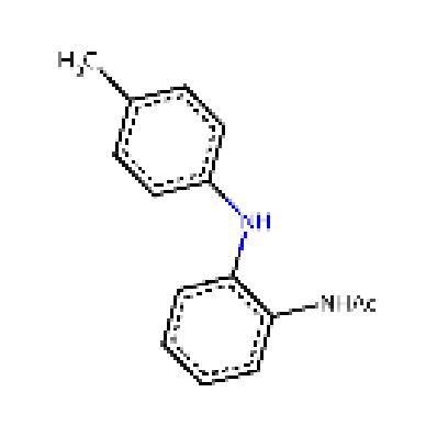 CC(=O)Nc1ccccc1Nc1ccc(C)cc1